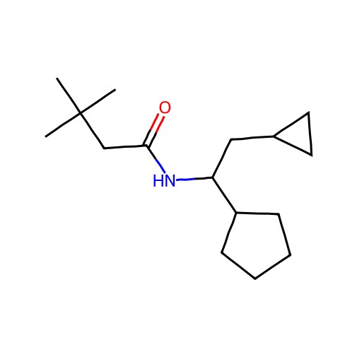 CC(C)(C)CC(=O)NC(CC1CC1)C1CCCC1